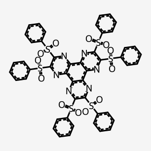 O=S(=O)(c1ccccc1)c1nc2c3nc(S(=O)(=O)c4ccccc4)c(S(=O)(=O)c4ccccc4)nc3c3nc(S(=O)(=O)c4ccccc4)c(S(=O)(=O)c4ccccc4)nc3c2nc1S(=O)(=O)c1ccccc1